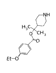 CCOc1ccc(C(=O)OC(C)(C)C2CCNCC2)cc1